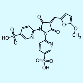 COc1ccc(C=C2C(=O)N(c3ccc(S(=O)(=O)O)cn3)N(c3ccc(S(=O)(=O)O)cn3)C2=O)o1